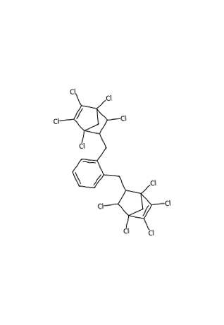 ClC1=C(Cl)C2(Cl)CC1(Cl)C(Cl)C2Cc1ccccc1CC1C(Cl)C2(Cl)CC1(Cl)C(Cl)=C2Cl